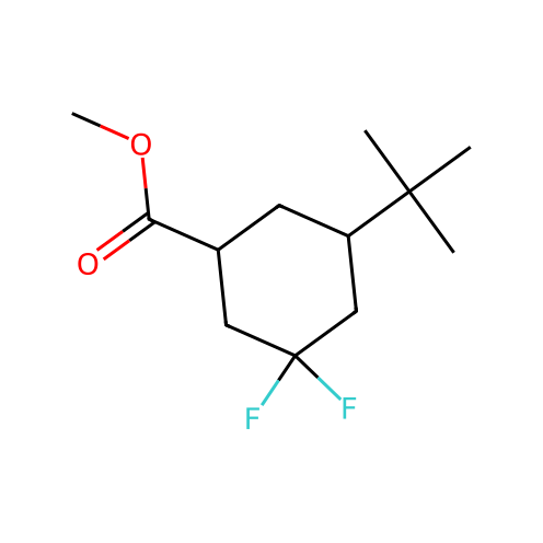 COC(=O)C1CC(C(C)(C)C)CC(F)(F)C1